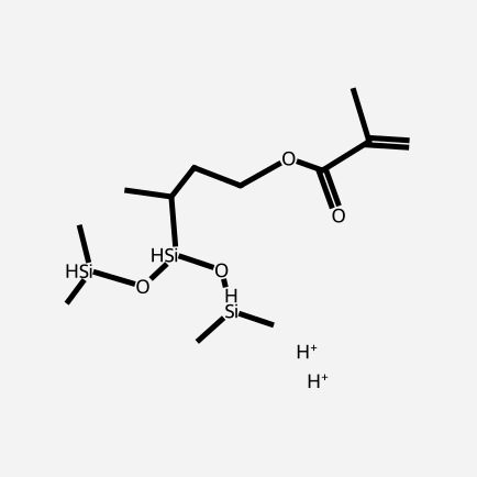 C=C(C)C(=O)OCCC(C)[SiH](O[SiH](C)C)O[SiH](C)C.[H+].[H+]